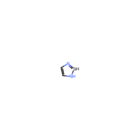 c1c[nH][siH]n1